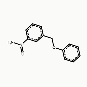 N[N+](=O)c1cccc(COc2c[c]ccc2)c1